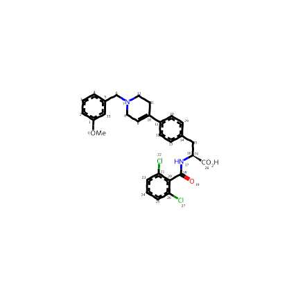 COc1cccc(CN2CC=C(c3ccc(C[C@H](NC(=O)c4c(Cl)cccc4Cl)C(=O)O)cc3)CC2)c1